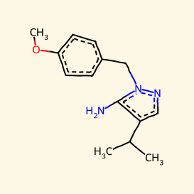 COc1ccc(Cn2ncc(C(C)C)c2N)cc1